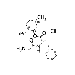 CC(C)[C@@H]1CC[C@@H](C)C[C@H]1OC(=O)[C@H](Cc1ccccc1)NC(=O)CN.Cl